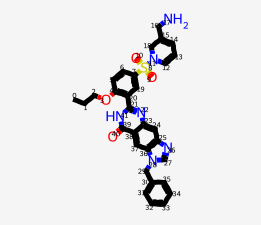 CCCOc1ccc(S(=O)(=O)N2C=CC=C(CN)C2)cc1-c1nc2cc3ncn(Cc4ccccc4)c3cc2c(=O)[nH]1